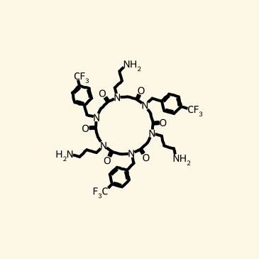 NCCCN1CC(=O)N(Cc2ccc(C(F)(F)F)cc2)CC(=O)N(CCCN)CC(=O)N(Cc2ccc(C(F)(F)F)cc2)CC(=O)N(CCCN)CC(=O)N(Cc2ccc(C(F)(F)F)cc2)CC1=O